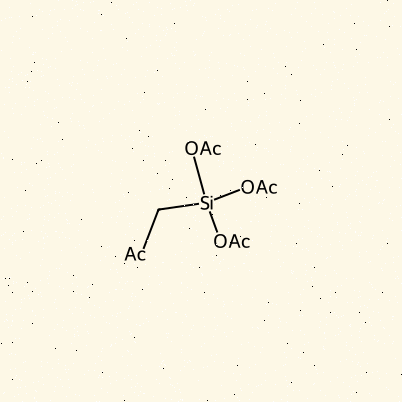 CC(=O)C[Si](OC(C)=O)(OC(C)=O)OC(C)=O